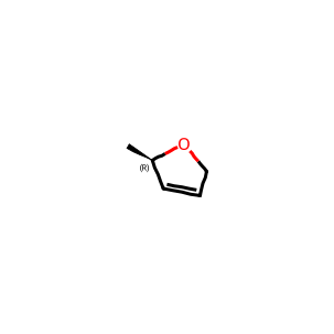 C[C@@H]1C=CCO1